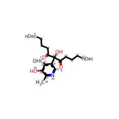 CCCCCCCCCCCCCC(=O)C(O)(C(=O)CCCCCCCCCCCCC)c1cnc(C)c(O)c1C=O